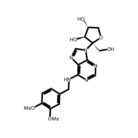 COc1ccc(CNc2ncnc3c2ncn3[C@]2(CO)OC[C@@H](O)[C@@H]2O)cc1OC